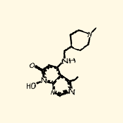 Cc1ncnc2c1c(NCC1CCN(C)CC1)cc(=O)n2O